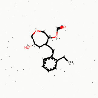 CCc1ccccc1CC1C[C@H](O)COCC1OC=O